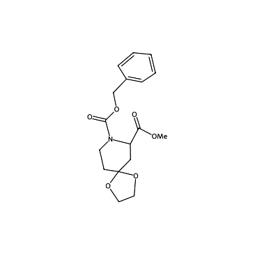 COC(=O)C1CC2(CCN1C(=O)OCc1ccccc1)OCCO2